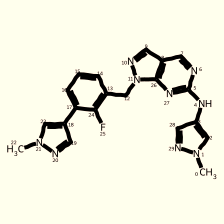 Cn1cc(Nc2ncc3cnn(Cc4cccc(-c5cnn(C)c5)c4F)c3n2)cn1